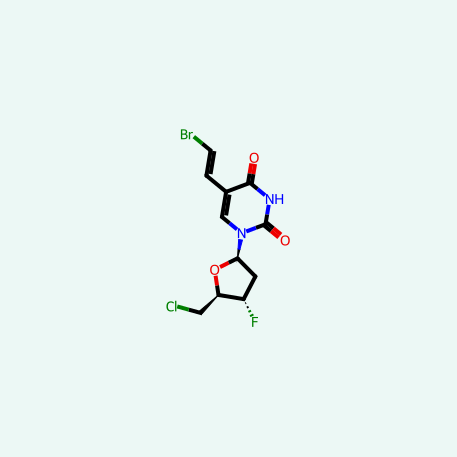 O=c1[nH]c(=O)n([C@H]2C[C@H](F)[C@@H](CCl)O2)cc1C=CBr